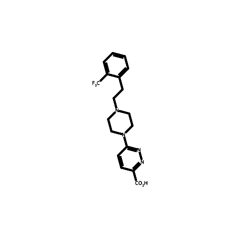 O=C(O)c1ccc(N2CCN(CCc3ccccc3C(F)(F)F)CC2)nn1